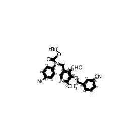 Cc1ncc(CN(C(=O)OC(C)(C)C)c2ccc(C#N)cc2)c(C=O)c1OCc1cccc(C#N)c1